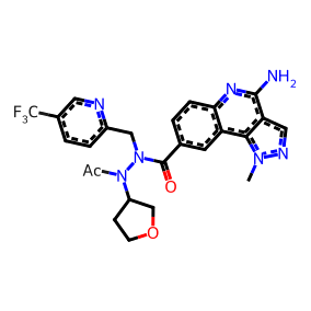 CC(=O)N(C1CCOC1)N(Cc1ccc(C(F)(F)F)cn1)C(=O)c1ccc2nc(N)c3cnn(C)c3c2c1